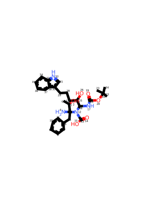 CC(O)C(N)(Cc1ccccc1)N(C(=O)O)C(NC(=O)OC(C)(C)C)C(O)CCCc1c[nH]c2ccccc12